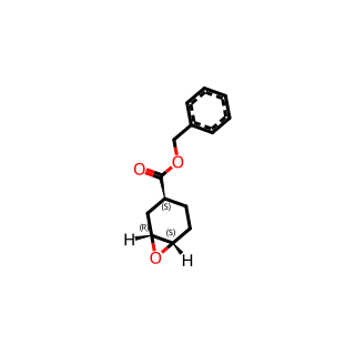 O=C(OCc1ccccc1)[C@H]1CC[C@@H]2O[C@@H]2C1